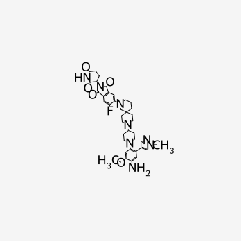 COc1cc(N2CCC(N3CCC4(CCCN(c5cc6c(cc5F)C(=O)N(C5CCC(=O)NC5=O)C6=O)C4)CC3)CC2)c(-c2cnn(C)c2)cc1N